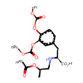 CCCOC(=O)Oc1ccc(C[C@H](NCC(C)OC(=O)CCC)C(=O)O)cc1OC(=O)OCCC